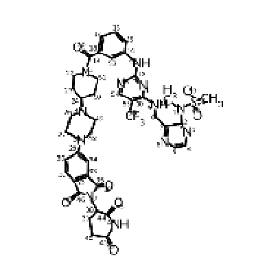 CN(c1nccnc1CNc1nc(Nc2cccc(C(=O)N3CCC(N4CCN(c5ccc6c(c5)C(=O)N(C5CCC(=O)NC5=O)C6=O)CC4)CC3)c2)ncc1C(F)(F)F)S(C)(=O)=O